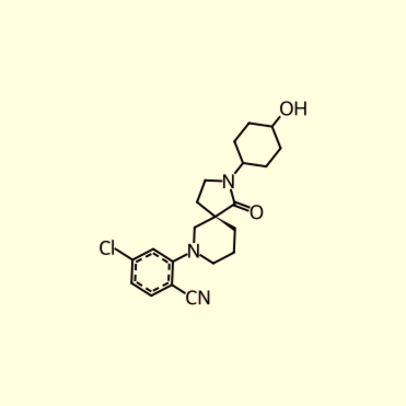 N#Cc1ccc(Cl)cc1N1CCC[C@]2(CCN(C3CCC(O)CC3)C2=O)C1